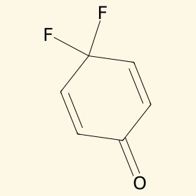 O=C1C=CC(F)(F)C=C1